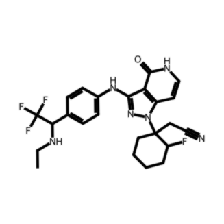 CCNC(c1ccc(Nc2nn(C3(CC#N)CCCCC3F)c3cc[nH]c(=O)c23)cc1)C(F)(F)F